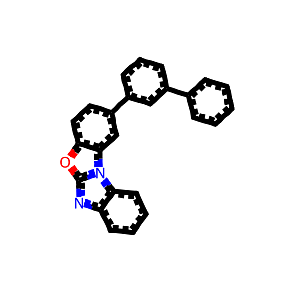 c1ccc(-c2cccc(-c3ccc4oc5nc6ccccc6n5c4c3)c2)cc1